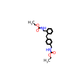 CCOC(=O)NCc1ccc(Cc2ccccc2CNC(=O)OCC)cc1